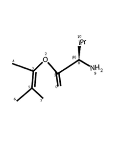 C=C(OC(C)=C(C)C)[C@H](N)C(C)C